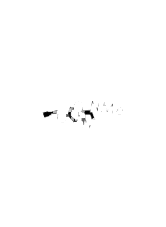 C#CCOC1COc2c(NC)cnn2C1